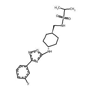 CC(C)S(=O)(=O)NC[C@H]1CC[C@H](Nc2nc(-c3cccc(F)c3)no2)CC1